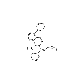 C=C/C=C(/C1=CCCC=C1)c1ccc2c(C3=CCCC=C3)ccnc2c1C